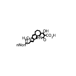 CCCCCCCCCNCc1cc2cc3c(cc2n1C)CCCc1c-3[nH]c(=O)c(C(=O)O)c1O